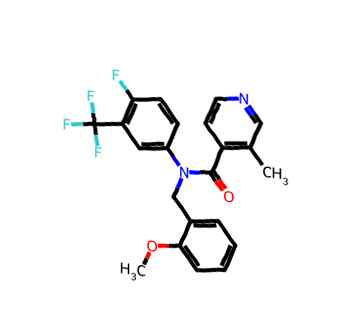 COc1ccccc1CN(C(=O)c1ccncc1C)c1ccc(F)c(C(F)(F)F)c1